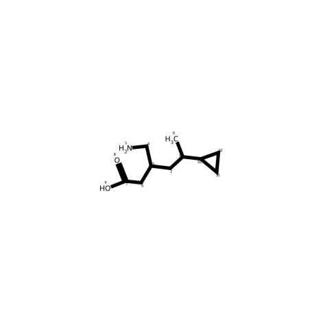 CC(CC(CN)CC(=O)O)C1CC1